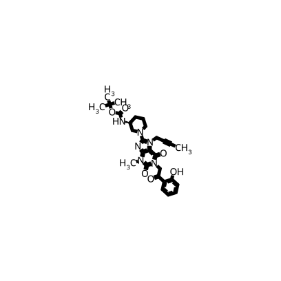 CC#CCn1c(N2CCC[C@H](NC(=O)OC(C)(C)C)C2)nc2c1c(=O)n(CC(=O)c1ccccc1O)c(=O)n2C